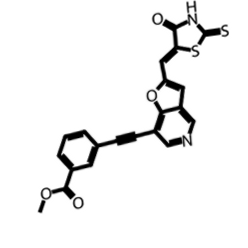 COC(=O)c1cccc(C#Cc2cncc3cc(/C=C4\SC(=S)NC4=O)oc23)c1